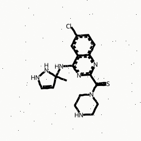 CC1(Nc2nc(C(=S)N3CCNCC3)nc3ccc(Cl)cc23)C=CNN1